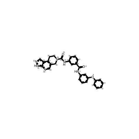 O=C(Nc1cccc(Oc2ccccc2)c1)c1cccc(NC(=O)N2CCc3c(cnc4[nH]ncc34)C2)c1